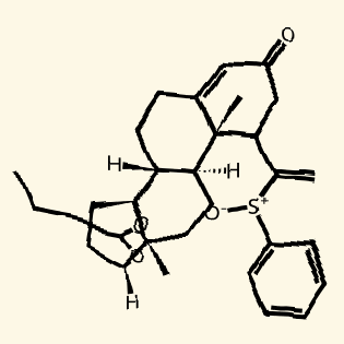 C=C(C1CC(=O)C=C2CC[C@@H]3[C@H](CC[C@]4(C)[C@H]5CC[C@@]34OC(CC)O5)[C@]21C)[S+]([O-])c1ccccc1